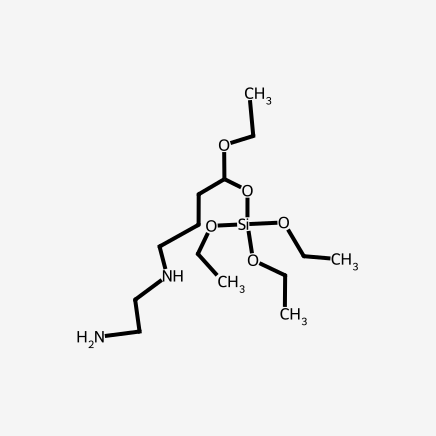 CCOC(CCCNCCN)O[Si](OCC)(OCC)OCC